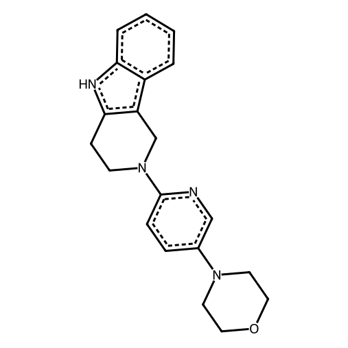 c1ccc2c3c([nH]c2c1)CCN(c1ccc(N2CCOCC2)cn1)C3